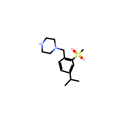 CC(C)c1ccc(CN2CCNCC2)c(S(C)(=O)=O)c1